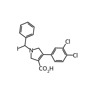 O=C(O)C1=C(c2ccc(Cl)c(Cl)c2)CN(C(I)c2ccccc2)C1